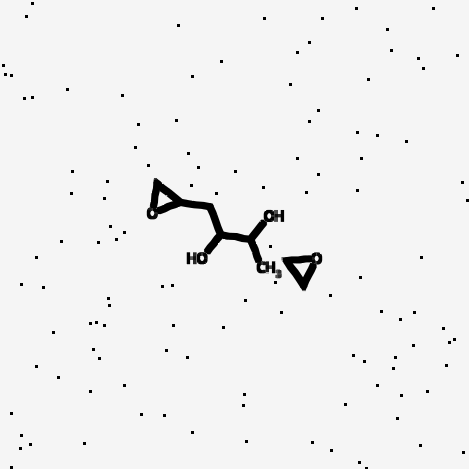 C1CO1.CC(O)C(O)CC1CO1